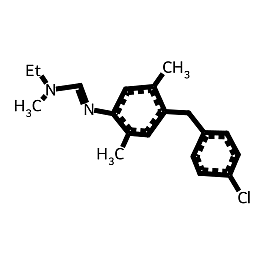 CCN(C)C=Nc1cc(C)c(Cc2ccc(Cl)cc2)cc1C